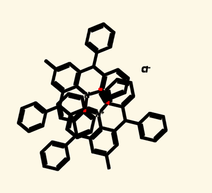 Cc1cc(C(c2ccccc2)c2ccccc2)c(-n2cc[n+](-c3c(C(c4ccccc4)c4ccccc4)cc(C)cc3C(c3ccccc3)c3ccccc3)c2)c(C(c2ccccc2)c2ccccc2)c1.[Cl-]